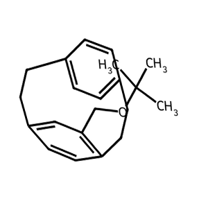 CC(C)(C)OCc1cc2ccc1CCc1ccc(cc1)CC2